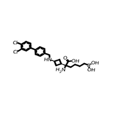 NC(CCCCB(O)O)(C(=O)O)[C@H]1C[C@@H](NCc2ccc(-c3ccc(Cl)c(Cl)c3)cc2)C1